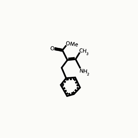 COC(=O)C(Cc1ccccc1)=C(C)N